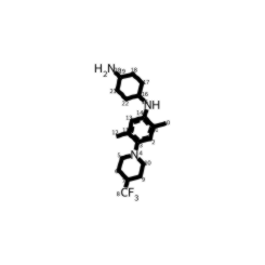 Cc1cc(N2CCC(C(F)(F)F)CC2)c(C)cc1NC1CCC(N)CC1